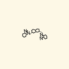 c1ccc2c(c1)ncn2Cc1ccc2ccc(Cn3cnc4ccccc43)cc2c1